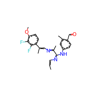 C\C=C/N=C(Nc1ccc(C=O)c(C)c1)\C(C)=N\C=C(/C)c1ccc(OC)c(F)c1F